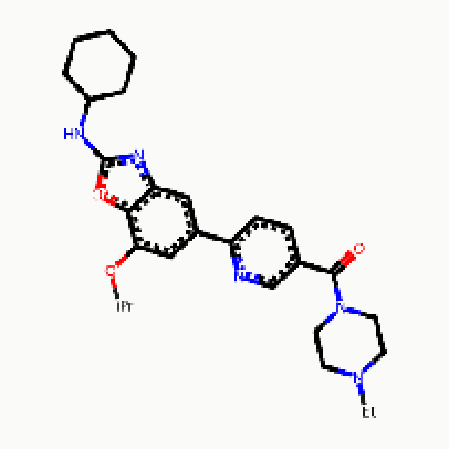 CCN1CCN(C(=O)c2ccc(-c3cc(OC(C)C)c4oc(NC5CCCCC5)nc4c3)nc2)CC1